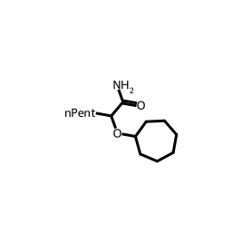 CCCCCC(OC1CCCCCC1)C(N)=O